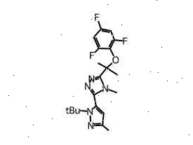 Cc1cc(-c2nnc(C(C)(C)Oc3c(F)cc(F)cc3F)n2C)n(C(C)(C)C)n1